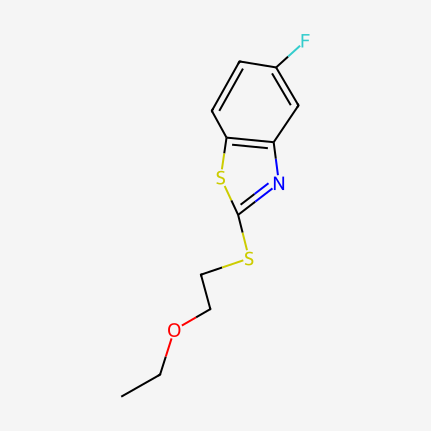 CCOCCSc1nc2cc(F)ccc2s1